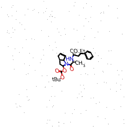 CCOC(=O)[C@H](CCc1ccccc1)N[C@@H](C)C(=O)N1C(OC(=O)OC(C)(C)C)CC2CC=CC21